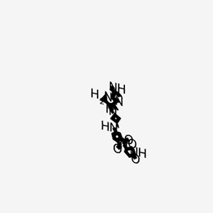 N=Cc1ccnc(-c2cn([C@H]3C[C@H](CNc4ccc5c(c4)C(=O)N(C4CCC(=O)NC4=O)C5=O)C3)nc2C2CC2)c1N